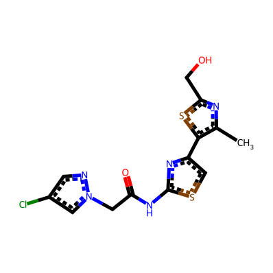 Cc1nc(CO)sc1-c1csc(NC(=O)Cn2cc(Cl)cn2)n1